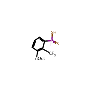 CCCCCCCCc1cccc([PH](=S)S)c1C(F)(F)F